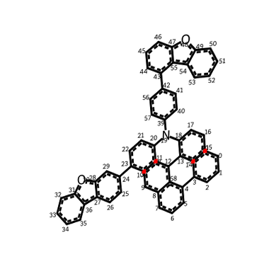 c1ccc(-c2cccc3cccc(-c4ccccc4N(c4ccc(-c5ccc6c(c5)oc5ccccc56)cc4)c4ccc(-c5cccc6oc7ccccc7c56)cc4)c23)cc1